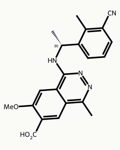 COc1cc2c(N[C@H](C)c3cccc(C#N)c3C)nnc(C)c2cc1C(=O)O